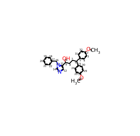 COc1ccc(C(CCC(O)c2cncn2Cc2ccccc2)c2ccc(OC)cc2)cc1